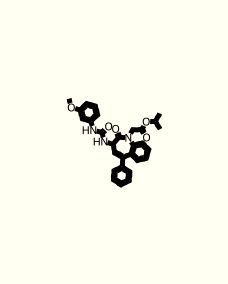 COc1cccc(NC(=O)NC2C=C(c3ccccc3)c3ccccc3N(CC(=O)OC(C)C)C2=O)c1